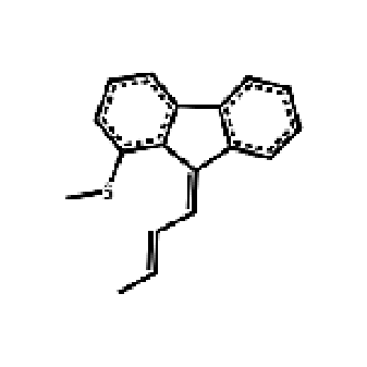 C/C=C/C=C1/c2ccccc2-c2cccc(SC)c21